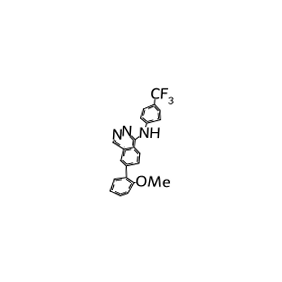 COc1ccccc1-c1ccc2c(Nc3ccc(C(F)(F)F)cc3)nncc2c1